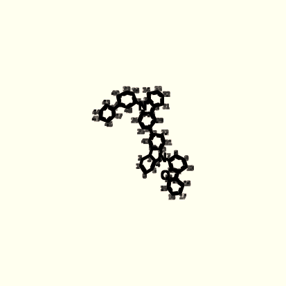 C1=CCC2C(=C1)N(c1cccc3c1oc1ccccc13)c1ccc(-c3ccc4c(c3)c3ccccc3n4-c3cccc(-c4ccccc4)c3)cc12